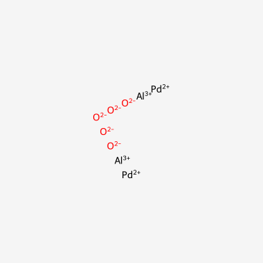 [Al+3].[Al+3].[O-2].[O-2].[O-2].[O-2].[O-2].[Pd+2].[Pd+2]